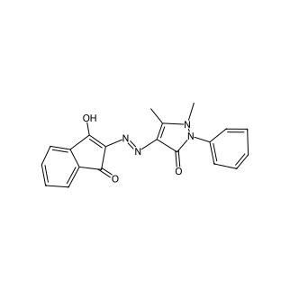 Cc1c(N=NC2=C(O)c3ccccc3C2=O)c(=O)n(-c2ccccc2)n1C